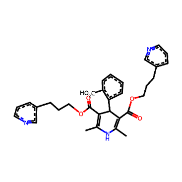 CC1=C(C(=O)OCCCc2cccnc2)C(c2ccccc2C(=O)O)C(C(=O)OCCCc2cccnc2)=C(C)N1